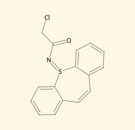 O=C(CCl)N=S1c2ccccc2C=Cc2ccccc21